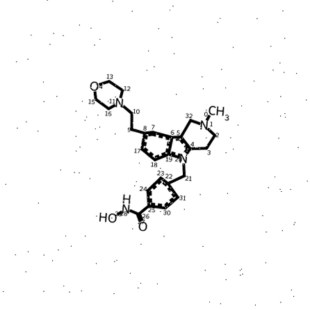 CN1CCc2c(c3cc(CCN4CCOCC4)ccc3n2Cc2ccc(C(=O)NO)cc2)C1